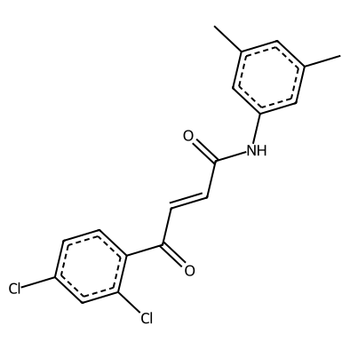 Cc1cc(C)cc(NC(=O)C=CC(=O)c2ccc(Cl)cc2Cl)c1